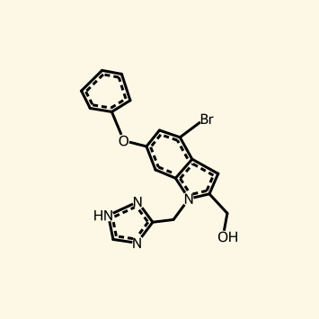 OCc1cc2c(Br)cc(Oc3ccccc3)cc2n1Cc1nc[nH]n1